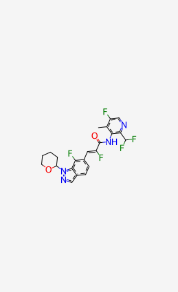 Cc1c(F)cnc(C(F)F)c1NC(=O)/C(F)=C/c1ccc2cnn(C3CCCCO3)c2c1F